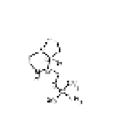 CC(C)(C)[Si](C)(C)OC[C@@H]1NCCN2CCC[C@@H]12